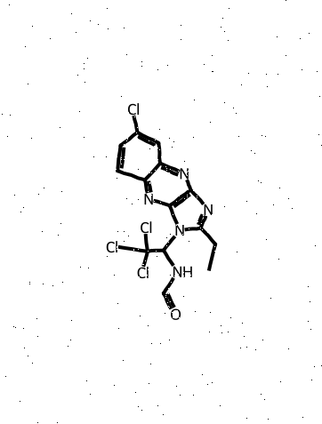 CCc1nc2nc3cc(Cl)ccc3nc2n1C(NC=O)C(Cl)(Cl)Cl